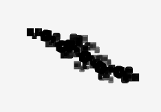 COc1cc(N=Nc2cc(C)c(N=Nc3ccc(S(=O)(=O)O)cc3)cc2C)c(C)cc1N=Nc1c(S(=O)(=O)O)cc2cc(NC(=O)c3ccc(N)cc3)ccc2c1O